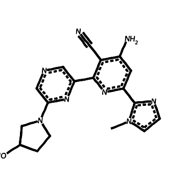 Cn1ccnc1-c1cc(N)c(C#N)c(-c2cncc(N3CCC(O)C3)n2)n1